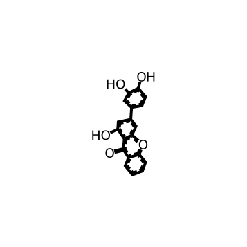 O=c1c2ccccc2oc2cc(-c3ccc(O)c(O)c3)cc(O)c12